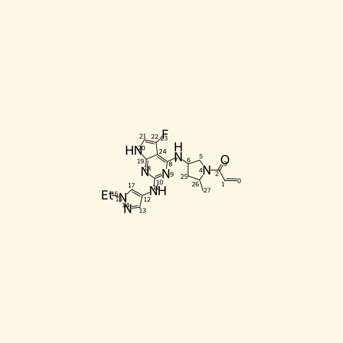 C=CC(=O)N1CC(Nc2nc(Nc3cnn(CC)c3)nc3[nH]cc(F)c23)CC1C